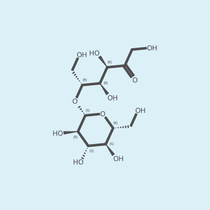 O=C(CO)[C@H](O)[C@@H](O)[C@@H](CO)O[C@@H]1O[C@H](CO)[C@@H](O)[C@H](O)[C@H]1O